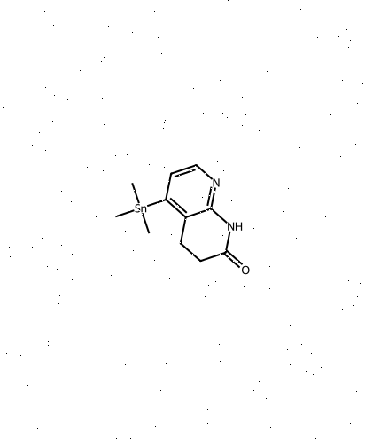 [CH3][Sn]([CH3])([CH3])[c]1ccnc2c1CCC(=O)N2